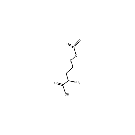 NC(CCOO[SH](=O)=O)C(=O)O